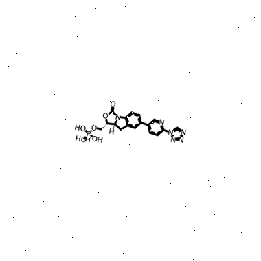 O=C1O[C@@H](CO[PH](O)(O)O)[C@@H]2Cc3cc(-c4ccc(-n5cnnn5)nc4)ccc3N12